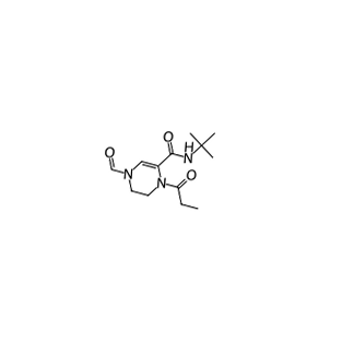 CCC(=O)N1CCN(C=O)C=C1C(=O)NC(C)(C)C